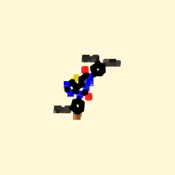 COc1cc(N2C(=O)Nc3c(C(=O)Nc4ccc(OC)c(OC)c4)sc4ncnc2c34)ccc1Br